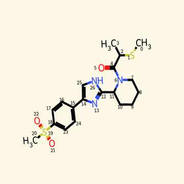 CSC(C)C(=O)N1CCCCC1c1nc(-c2ccc(S(C)(=O)=O)cc2)c[nH]1